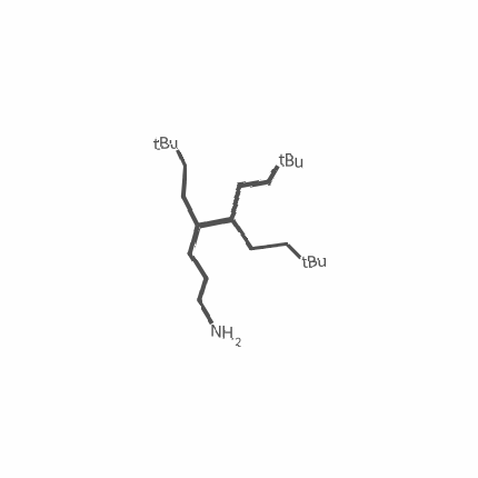 CC(C)(C)CCC(CCCN)C(CCC(C)(C)C)CCC(C)(C)C